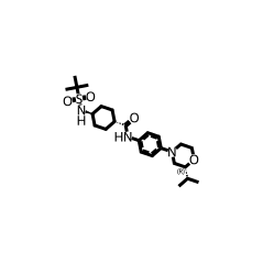 CC(C)[C@@H]1CN(c2ccc(NC(=O)[C@H]3CC[C@H](NS(=O)(=O)C(C)(C)C)CC3)cc2)CCO1